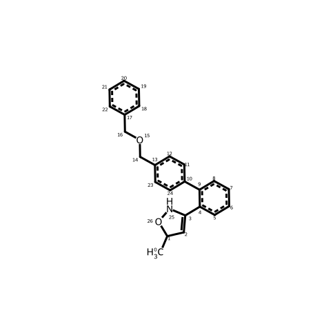 CC1C=C(c2ccccc2-c2ccc(COCc3ccccc3)cc2)NO1